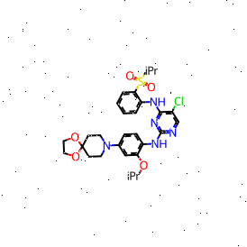 CC(C)Oc1cc(N2CCC3(CC2)OCCO3)ccc1Nc1ncc(Cl)c(Nc2ccccc2S(=O)(=O)C(C)C)n1